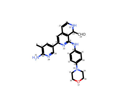 Cc1cc(-c2cc3c(c(Nc4ccc(N5CCOCC5)cc4)n2)C(C=O)NC=C3)cnc1N